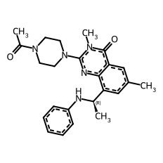 CC(=O)N1CCN(c2nc3c([C@@H](C)Nc4ccccc4)cc(C)cc3c(=O)n2C)CC1